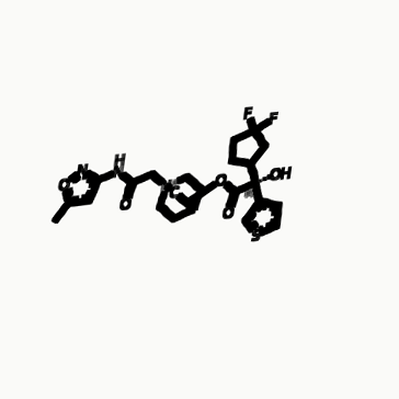 Cc1cc(NC(=O)C[N+]23CCC(CC2)C(OC(=O)[C@](O)(c2ccsc2)C2CCC(F)(F)C2)C3)no1